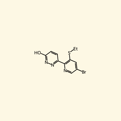 CCSc1cc(Br)cnc1-c1ccc(O)nn1